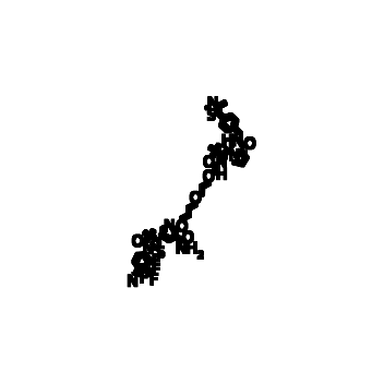 Cc1ncsc1-c1ccc(CNC(=O)[C@@H]2CCCN2C(=O)[C@@H](NC(=O)COCCCOCCCCOc2ncc(N3C(=S)N(c4ccc(C#N)c(C(F)(F)F)c4F)C(=O)C3(C)C)cc2C(N)=O)C(C)(C)C)cc1